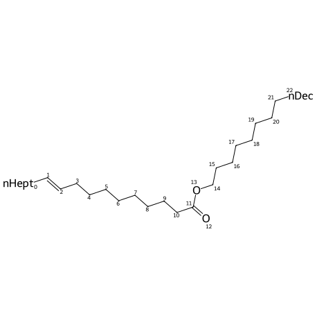 CCCCCCCC=CCCCCCCCCC(=O)OCCCCCCCCCCCCCCCCCC